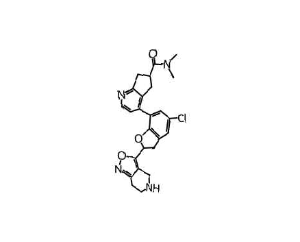 CN(C)C(=O)C1Cc2nccc(-c3cc(Cl)cc4c3OC(c3onc5c3CNCC5)C4)c2C1